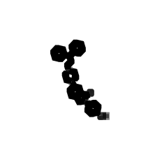 O=C1c2cc(N3CCN(CCC(c4ccccc4)c4ccccc4)CC3)ccc2CN1c1ccc(O)cc1